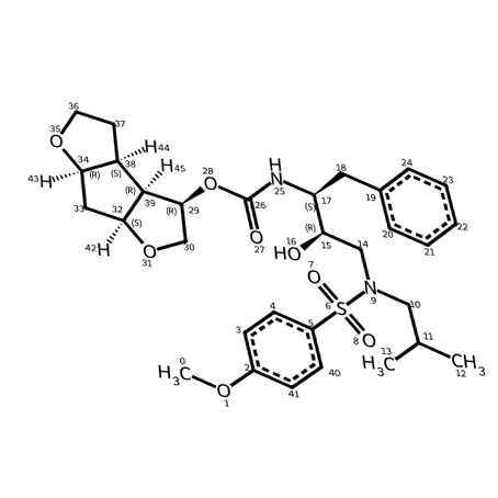 COc1ccc(S(=O)(=O)N(CC(C)C)C[C@@H](O)[C@H](Cc2ccccc2)NC(=O)O[C@H]2CO[C@H]3C[C@H]4OCC[C@H]4[C@H]32)cc1